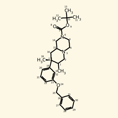 CC1CN2CCN(C(=O)OC(C)(C)C)CC2C[C@@]1(C)c1cccc(OCc2ccccc2)c1